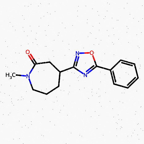 CN1CCCC(c2noc(-c3ccccc3)n2)CC1=O